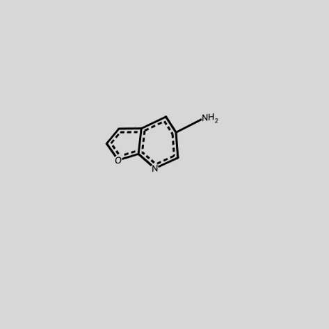 Nc1cnc2occc2c1